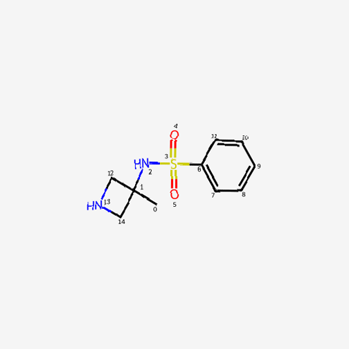 CC1(NS(=O)(=O)c2ccccc2)CNC1